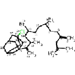 C=C(C)CC(=C)CCC(CC)CCC(CC)CC(C)C(=C)C12CC3CC(CC(Cl)(C3)C1)C2